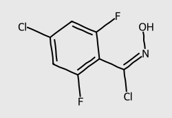 O/N=C(/Cl)c1c(F)cc(Cl)cc1F